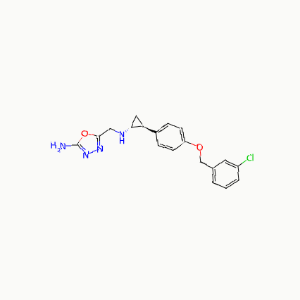 Nc1nnc(CN[C@@H]2C[C@H]2c2ccc(OCc3cccc(Cl)c3)cc2)o1